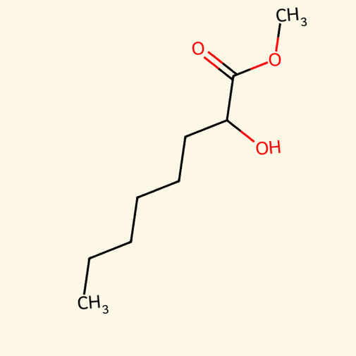 CCCCCCC(O)C(=O)OC